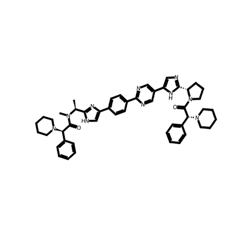 C[C@@H](c1nc(-c2ccc(-c3ncc(-c4cnc([C@@H]5CCCN5C(=O)[C@@H](c5ccccc5)N5CCCCC5)[nH]4)cn3)cc2)c[nH]1)N(C)C(=O)[C@@H](c1ccccc1)N1CCCCC1